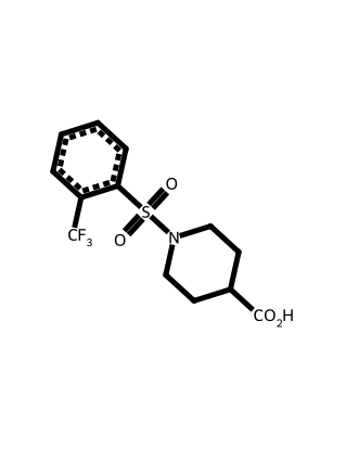 O=C(O)C1CCN(S(=O)(=O)c2ccccc2C(F)(F)F)CC1